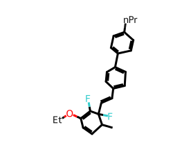 CCCc1ccc(-c2ccc(/C=C/C3(F)C(F)=C(OCC)C=CC3C)cc2)cc1